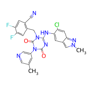 Cc1cncc(-n2c(=O)nc(Nc3cc4cn(C)nc4cc3Cl)n(Cc3cc(F)c(F)cc3C#N)c2=O)c1